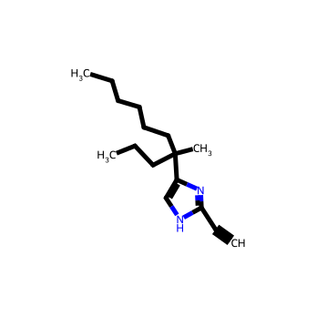 C#Cc1nc(C(C)(CCC)CCCCCC)c[nH]1